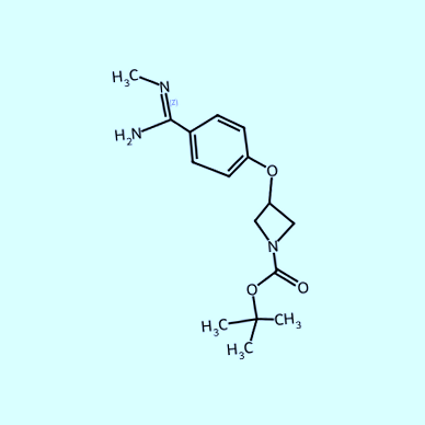 C/N=C(\N)c1ccc(OC2CN(C(=O)OC(C)(C)C)C2)cc1